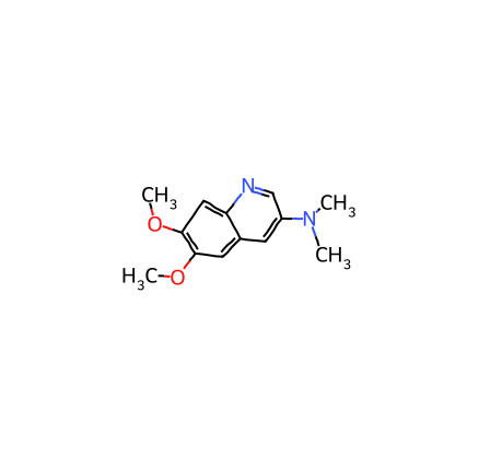 COc1cc2cc(N(C)C)cnc2cc1OC